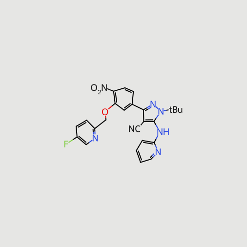 CC(C)(C)n1nc(-c2ccc([N+](=O)[O-])c(OCc3ccc(F)cn3)c2)c(C#N)c1Nc1ccccn1